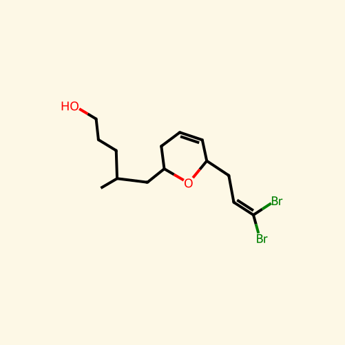 CC(CCCO)CC1CC=CC(CC=C(Br)Br)O1